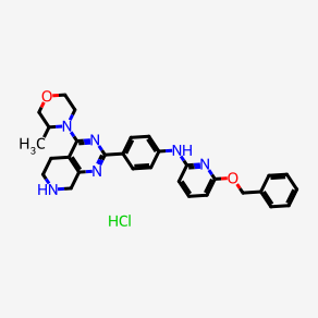 CC1COCCN1c1nc(-c2ccc(Nc3cccc(OCc4ccccc4)n3)cc2)nc2c1CCNC2.Cl